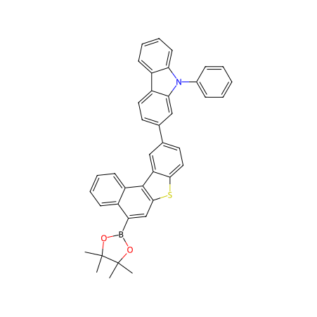 CC1(C)OB(c2cc3sc4ccc(-c5ccc6c7ccccc7n(-c7ccccc7)c6c5)cc4c3c3ccccc23)OC1(C)C